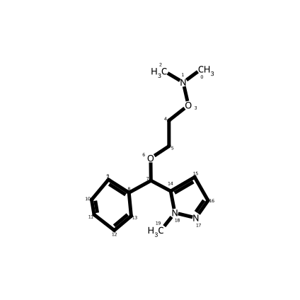 CN(C)OCCOC(c1ccccc1)c1ccnn1C